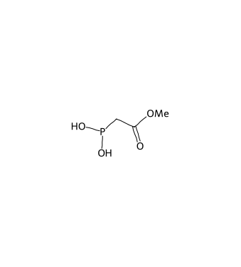 COC(=O)CP(O)O